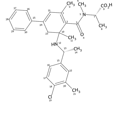 CC1=C(C(=O)N(C)[C@@H](C)C(=O)O)C(C)(N[C@H](C)c2ccc(Cl)c(C)c2)CC(c2ccccc2)=C1